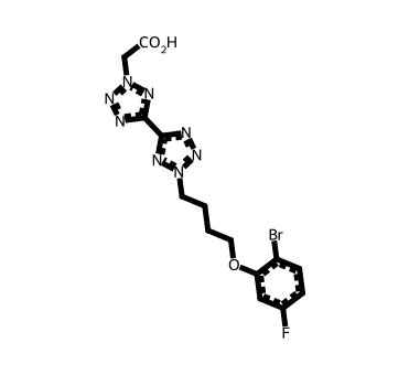 O=C(O)Cn1nnc(-c2nnn(CCCCOc3cc(F)ccc3Br)n2)n1